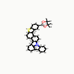 CC1(C)OB(c2ccc3sc4ccc5c(ccc6c5c5cccc7c8ccccc8n6c75)c4c3c2)OC1(C)C